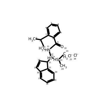 CC(C)c1ccccc1C(=O)[NH][Hf+2]([CH]1C=Cc2ccccc21)[SiH](C)C.[Cl-].[Cl-]